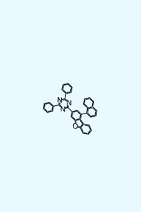 c1ccc(-c2nc(-c3ccccc3)nc(-c3cc(-c4cccc5ccccc45)c4c(c3)oc3ccccc34)n2)cc1